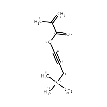 C=C(C)C(=O)OC#CC[Si](C)(C)C